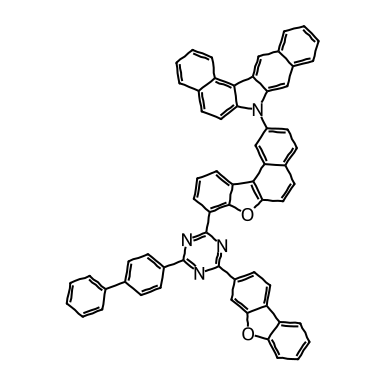 c1ccc(-c2ccc(-c3nc(-c4ccc5c(c4)oc4ccccc45)nc(-c4cccc5c4oc4ccc6ccc(-n7c8cc9ccccc9cc8c8c9ccccc9ccc87)cc6c45)n3)cc2)cc1